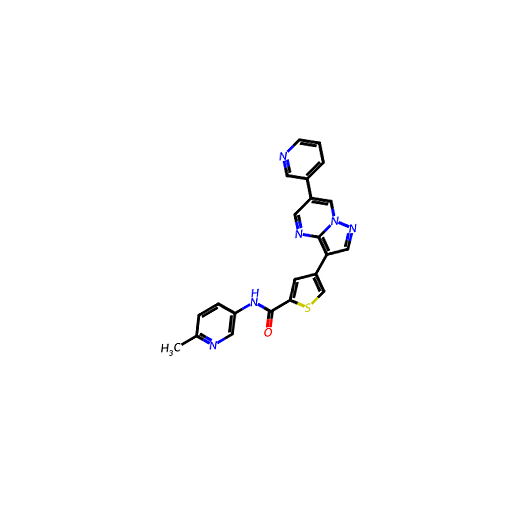 Cc1ccc(NC(=O)c2cc(-c3cnn4cc(-c5cccnc5)cnc34)cs2)cn1